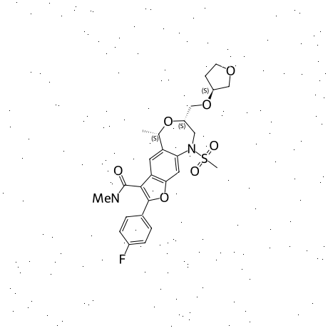 CNC(=O)c1c(-c2ccc(F)cc2)oc2cc3c(cc12)[C@H](C)O[C@H](CO[C@H]1CCOC1)CN3S(C)(=O)=O